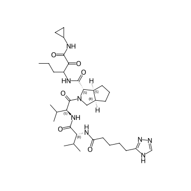 CCCC(NC(=O)[C@@H]1[C@H]2CCC[C@H]2CN1C(=O)[C@@H](NC(=O)[C@H](NC(=O)CCCCc1nnc[nH]1)C(C)C)C(C)C)C(=O)C(=O)NC1CC1